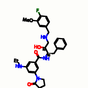 CCNc1cc(C(=O)N[C@@H](Cc2ccccc2)[C@@H](O)CNCc2ccc(F)c(OC)c2)cc(N2CCCC2=O)c1